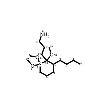 CCCCC1CCC[Si](OC)(OC)C1(CCCN)OC